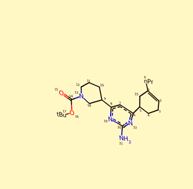 CCCC1=CCCC(c2cc(C3CCCN(C(=O)OC(C)(C)C)C3)nc(N)n2)C1